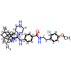 COc1ccc(CCNC(=O)c2ccc(N/C(=N/[C@H]3C[C@H]4C[C@@H]([C@@H]3C)C4(C)C)N3CCNCC3)cc2)c(F)c1